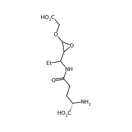 CCC(NC(=O)CC[C@H](N)C(=O)O)C1OC1OCC(=O)O